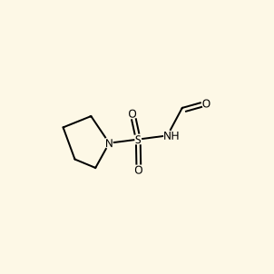 O=CNS(=O)(=O)N1CCCC1